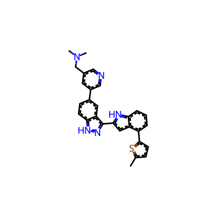 Cc1ccc(-c2cccc3[nH]c(-c4n[nH]c5ccc(-c6cncc(CN(C)C)c6)cc45)cc23)s1